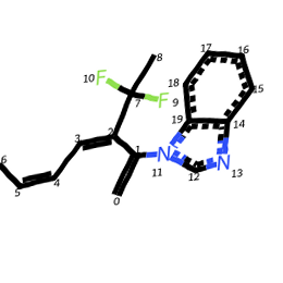 C=C(/C(=C\C=C/C)C(C)(F)F)n1cnc2ccccc21